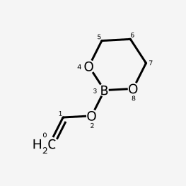 C=COB1OCCCO1